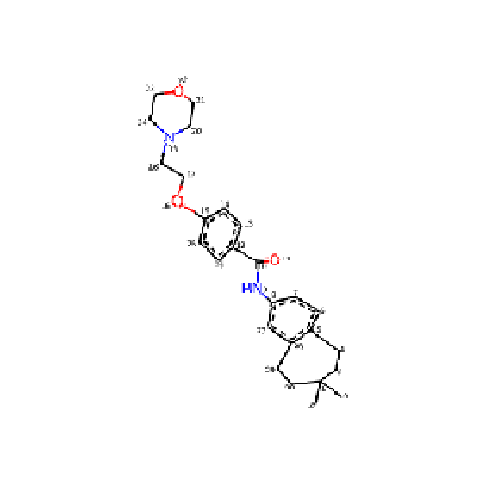 CC1(C)CCc2ccc(NC(=O)c3ccc(OCCN4CCOCC4)cc3)cc2CC1